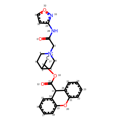 O=C(C[N+]12CCC(CC1)C(OC(=O)C1c3ccccc3Oc3ccccc31)C2)Nc1ccon1